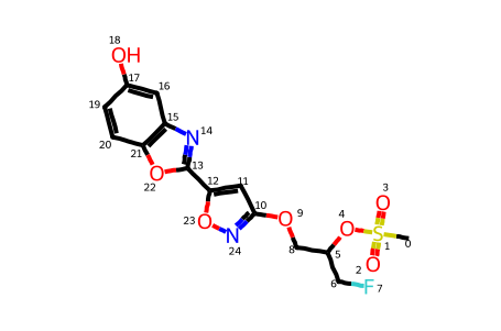 CS(=O)(=O)OC(CF)COc1cc(-c2nc3cc(O)ccc3o2)on1